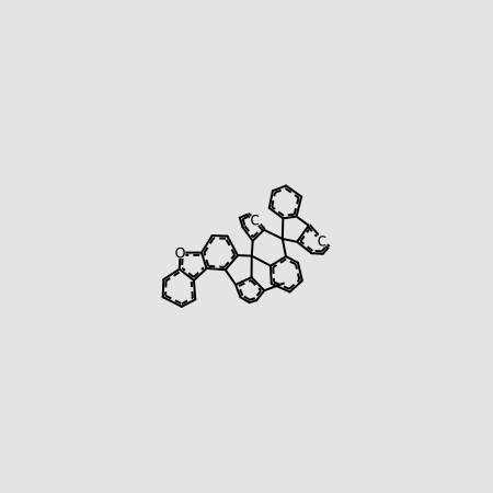 Cc1cccc2c1C1(c3ccccc3C3(c4ccccc4-c4ccccc43)c3ccccc31)c1ccc3oc4ccccc4c3c1-2